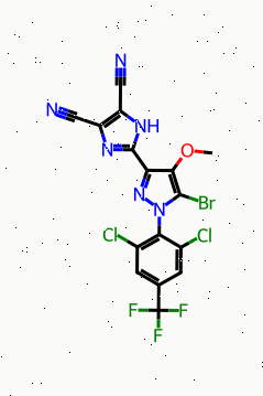 COc1c(-c2nc(C#N)c(C#N)[nH]2)nn(-c2c(Cl)cc(C(F)(F)F)cc2Cl)c1Br